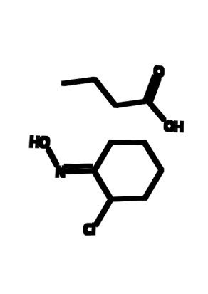 CCCC(=O)O.ON=C1CCCCC1Cl